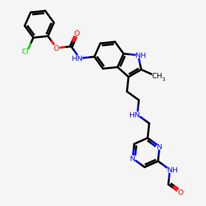 Cc1[nH]c2ccc(NC(=O)Oc3ccccc3Cl)cc2c1CCNCc1cncc(NC=O)n1